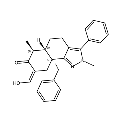 C[C@@H]1C(=O)C(=CO)C[C@]2(Cc3ccccc3)c3nn(C)c(-c4ccccc4)c3CC[C@@H]12